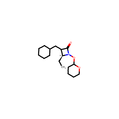 CC[C@H]1C(CC2CCCCC2)C(=O)N1OC1CCCCO1